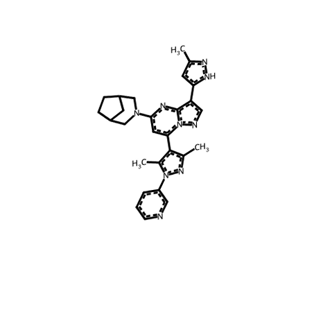 Cc1cc(-c2cnn3c(-c4c(C)nn(-c5cccnc5)c4C)cc(N4CC5CCC(C5)C4)nc23)[nH]n1